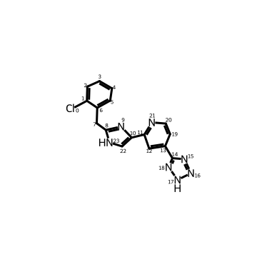 Clc1ccccc1Cc1nc(-c2cc(-c3nn[nH]n3)ccn2)c[nH]1